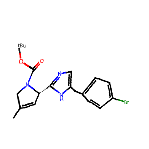 CC1=C[C@@H](c2ncc(-c3ccc(Br)cc3)[nH]2)N(C(=O)OC(C)(C)C)C1